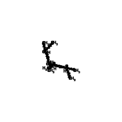 CCCCCCCCC(CCCCCC)C(=O)NCCCOCCCNC(=O)c1cc(CC(C)C)cc(C(=O)NCCCOCCCNC(=O)C(CCCCCC)CCCCCCCC)c1